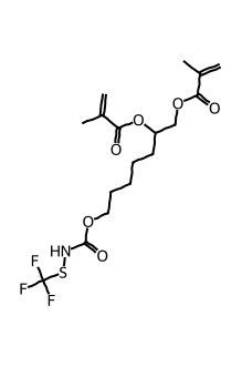 C=C(C)C(=O)OCC(CCCCCOC(=O)NSC(F)(F)F)OC(=O)C(=C)C